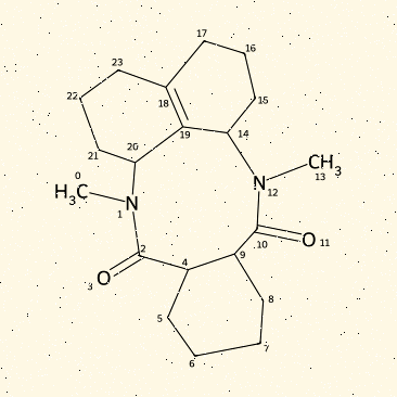 CN1C(=O)C2CCCCC2C(=O)N(C)C2CCCC3=C2C1CCC3